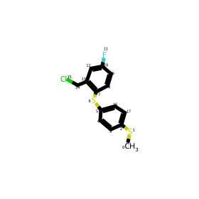 CSc1ccc(Sc2ccc(F)cc2CCl)cc1